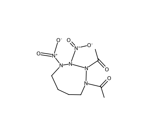 CC(=O)N1CCCCN([N+](=O)[O-])N([N+](=O)[O-])N1C(C)=O